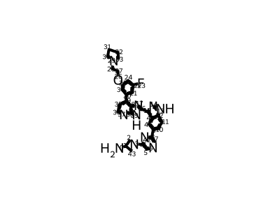 NC1CN(c2cncc(-c3ccc4[nH]nc(-c5nc6c(-c7cc(F)cc(OCCN8CCCC8)c7)ccnc6[nH]5)c4c3)n2)C1